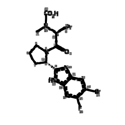 CC(C)[C@@H](C(=O)N1CCC[C@H]1c1nc2cc(Br)c(F)cc2[nH]1)N(C)C(=O)O